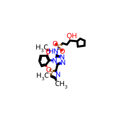 COc1cccc(OC)c1-n1c(NS(=O)(=O)CC[C@H](O)C2CCCC2)nnc1-c1nc(C)cs1